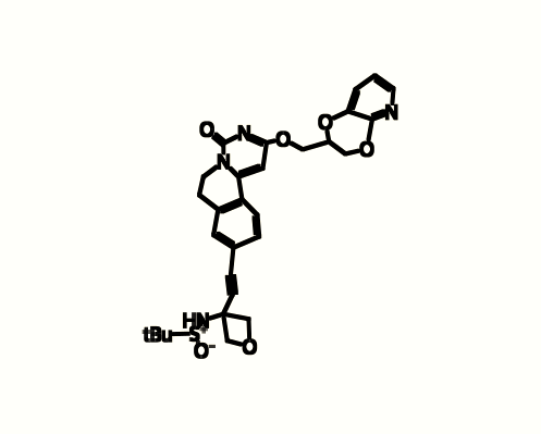 CC(C)(C)[S+]([O-])NC1(C#Cc2ccc3c(c2)CCn2c-3cc(OCC3COc4ncccc4O3)nc2=O)COC1